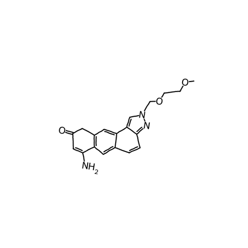 COCCOCn1cc2c(ccc3cc4c(cc32)CC(=O)C=C4N)n1